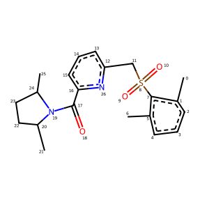 Cc1cccc(C)c1S(=O)(=O)Cc1cccc(C(=O)N2C(C)CCC2C)n1